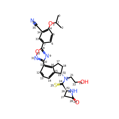 CC(C)Oc1ccc(-c2nc(-c3cccc4c3CC[C@@H]4N(CCO)C(=S)[C@@H]3CC(=O)N3)no2)cc1C#N